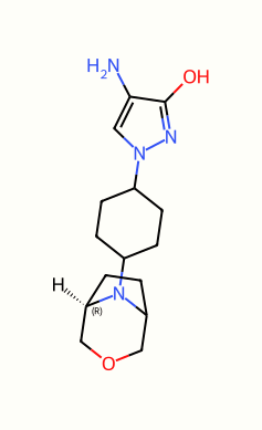 Nc1cn(C2CCC(N3C4CC[C@@H]3COC4)CC2)nc1O